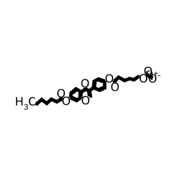 CCCCCCC(=O)Oc1ccc2c(=O)c(-c3ccc(OC(=O)CCCCCO[N+](=O)[O-])cc3)coc2c1